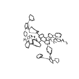 CC1(C)c2ccccc2-c2ccc(-c3c4ccc(C5=CCC(n6c(-c7ccccc7)ccc6-c6ccccc6)C=C5)cc4c(-c4ccc5c(c4)C(C)(C)c4ccccc4-5)c4cc(-c5ccc(-n6c(C7=CC=CCC7)ccc6-c6ccccc6)cc5)ccc34)cc21